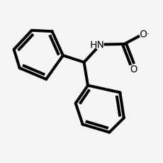 [O]C(=O)NC(c1ccccc1)c1ccccc1